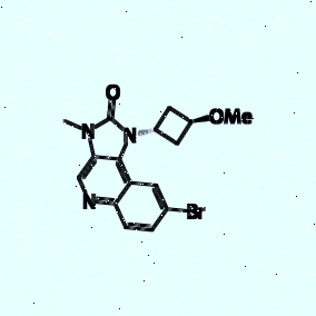 CO[C@H]1C[C@H](n2c(=O)n(C)c3cnc4ccc(Br)cc4c32)C1